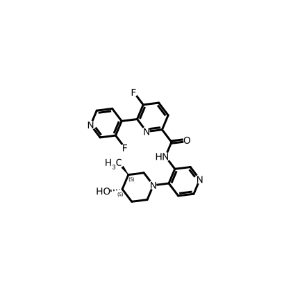 C[C@H]1CN(c2ccncc2NC(=O)c2ccc(F)c(-c3ccncc3F)n2)CC[C@@H]1O